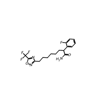 NC(=O)C(CCCCCCc1noc(C(F)(F)F)n1)c1ccccc1F